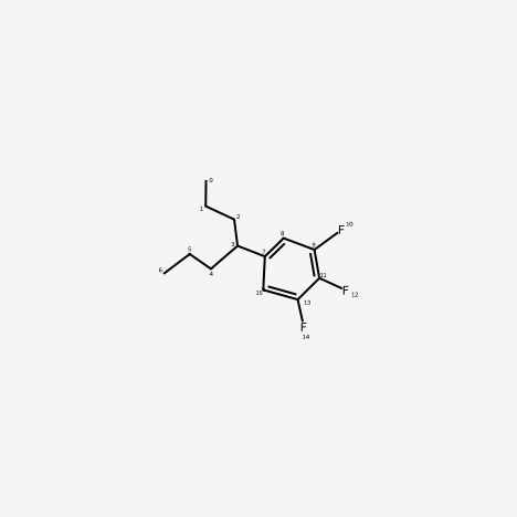 CCCC(CCC)c1cc(F)c(F)c(F)c1